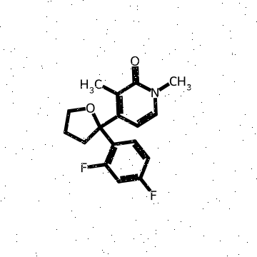 Cc1c(C2(c3ccc(F)cc3F)CCCO2)ccn(C)c1=O